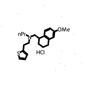 CCCN(CCc1cccs1)CC1CCCc2cc(OC)ccc21.Cl